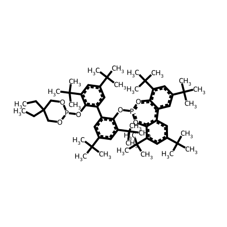 CCC1(CC)COP(Oc2c(-c3cc(C(C)(C)C)cc(C(C)(C)C)c3Op3oc4c(C(C)(C)C)cc(C(C)(C)C)cc4c4cc(C(C)(C)C)cc(C(C)(C)C)c4o3)cc(C(C)(C)C)cc2C(C)(C)C)OC1